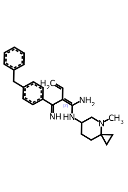 C=C/C(C(=N)c1ccc(Cc2ccccc2)cc1)=C(\N)NC1CCC2(CC2)N(C)C1